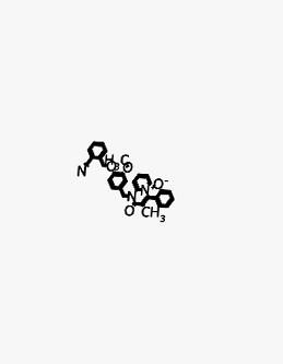 COc1cc(Cn2c(=O)c(C)c(-c3ccccc3[O-])[n+]3ccccc23)ccc1OCc1ccccc1C#N